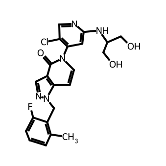 Cc1cccc(F)c1Cn1ncc2c(=O)n(-c3cc(NC(CO)CO)ncc3Cl)ccc21